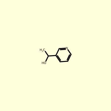 CC(O)c1[c]nccc1